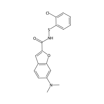 CN(C)c1ccc2cc(C(=O)NSc3ccccc3Cl)oc2c1